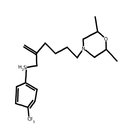 C=C(CCCCN1CC(C)OC(C)C1)C[SiH2]c1ccc(C(F)(F)F)cc1